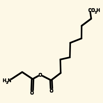 NCC(=O)OC(=O)CCCCCCCC(=O)O